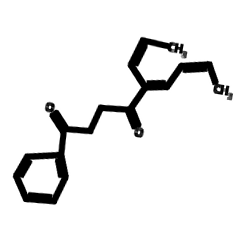 C\C=C/C=C(\C=C/C)C(=O)CCC(=O)c1ccccc1